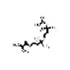 C=C(C)C(=O)OCCC(C)(C)OCCC(C)(C)OP(O)O